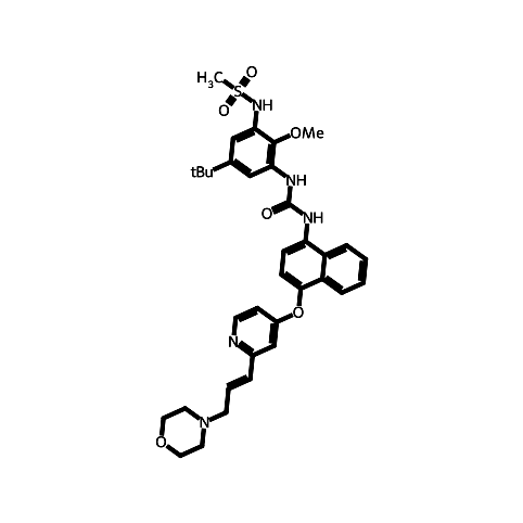 COc1c(NC(=O)Nc2ccc(Oc3ccnc(C=CCN4CCOCC4)c3)c3ccccc23)cc(C(C)(C)C)cc1NS(C)(=O)=O